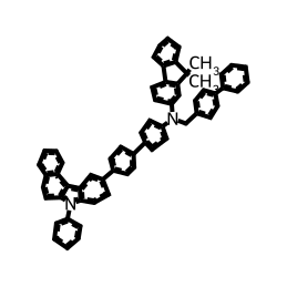 CC1(C)c2ccccc2-c2ccc(N(Cc3ccc(-c4ccccc4)cc3)c3ccc(-c4ccc(-c5ccc6c(c5)c5c7ccccc7ccc5n6-c5ccccc5)cc4)cc3)cc21